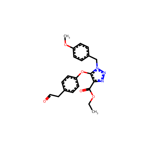 CCOC(=O)c1nnn(Cc2ccc(OC)cc2)c1Oc1ccc(CC=O)cc1